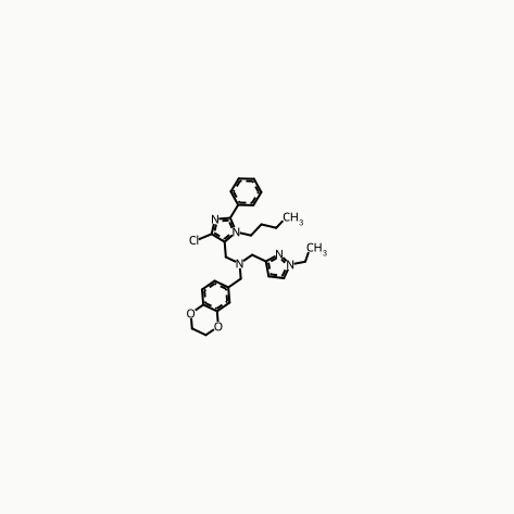 CCCCn1c(-c2ccccc2)nc(Cl)c1CN(Cc1ccc2c(c1)OCCO2)Cc1ccn(CC)n1